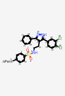 CCCCCc1ccc(S(=O)(=O)NCCc2c(-c3ccccc3)n[nH]c2-c2ccc(Cl)c(Cl)c2)cc1